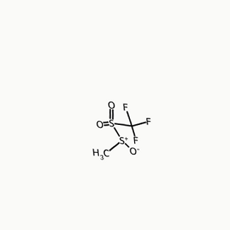 C[S+]([O-])S(=O)(=O)C(F)(F)F